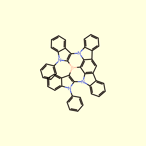 c1ccc(-n2c3c(c4ccccc42)-n2c4ccccc4c4cc5c6ccccc6n6c5c(c42)B3c2c-6n(-c3ccccc3)c3ccccc23)cc1